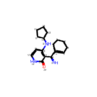 N=C(C1=CCCCC1)c1c(NC2CCCC2)cc[nH]c1=O